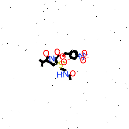 CC(=O)NCC[S+]([O-])C1=C(C(=O)OCc2ccc([N+](=O)[O-])cc2)N2C(=O)C(C(C)C)C2C1